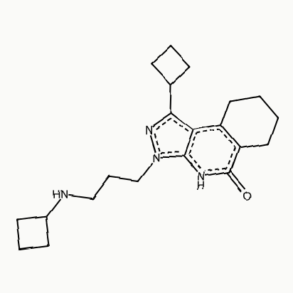 O=c1[nH]c2c(c(C3CCC3)nn2CCCNC2CCC2)c2c1CCCC2